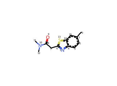 Cc1ccc2nc(CC(=O)N(C)C)sc2c1